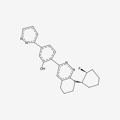 Oc1cc(-c2cccnn2)ccc1-c1cc2c(nn1)N([C@@H]1CCCC[C@@H]1F)CCC2